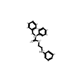 O=C(OCCNc1ccccc1)N(Cc1ccccc1)c1ccccc1